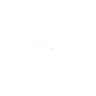 CCC(CC)(CC)O[C@H](O)N1CCC(O)CC1